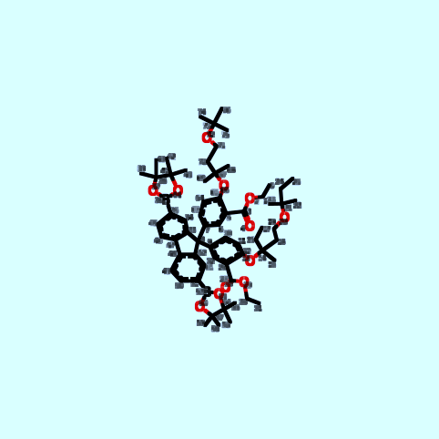 CCOC(=O)c1cc(C2(c3ccc(OC(C)(CC)CCOC(C)(C)CC)c(C(=O)OCC)c3)c3cc(B4OC(C)(C)C(C)(C)O4)ccc3-c3ccc(B4OC(C)(C)C(C)(C)O4)cc32)ccc1OC(C)(C)CCOC(C)(C)C